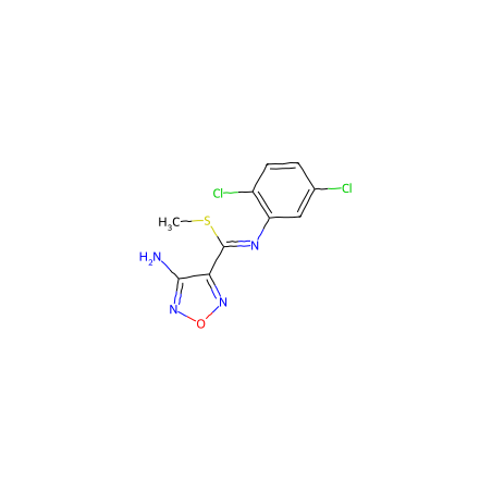 CSC(=Nc1cc(Cl)ccc1Cl)c1nonc1N